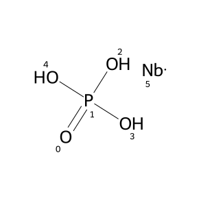 O=P(O)(O)O.[Nb]